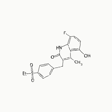 CCS(=O)(=O)c1ccc(Cc2c(C)c3c(O)ccc(F)c3[nH]c2=O)cc1